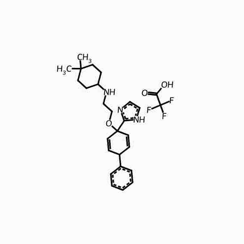 CC1(C)CCC(NCCOC2(c3ncc[nH]3)C=CC(c3ccccc3)C=C2)CC1.O=C(O)C(F)(F)F